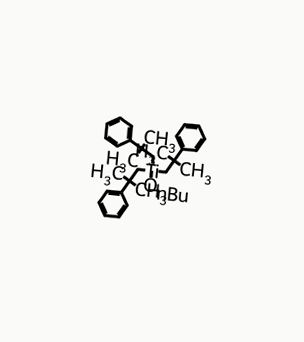 CCCC[O][Ti]([CH2]C(C)(C)c1ccccc1)([CH2]C(C)(C)c1ccccc1)[CH2]C(C)(C)c1ccccc1